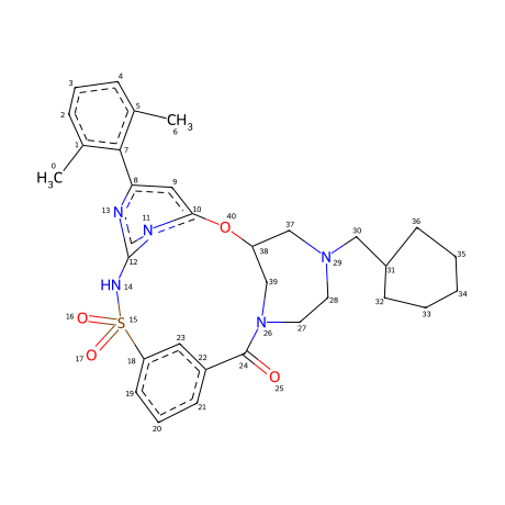 Cc1cccc(C)c1-c1cc2nc(n1)NS(=O)(=O)c1cccc(c1)C(=O)N1CCN(CC3CCCCC3)CC(C1)O2